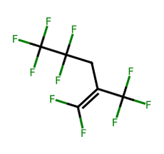 FC(F)=C(CC(F)(F)C(F)(F)F)C(F)(F)F